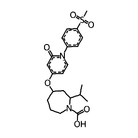 CC(C)C1CC(Oc2ccn(-c3ccc(S(C)(=O)=O)cc3)c(=O)c2)CCCN1C(=O)O